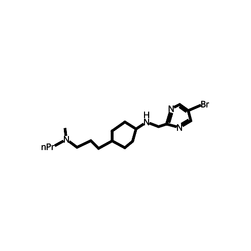 CCCN(C)CCCC1CCC(NCc2ncc(Br)cn2)CC1